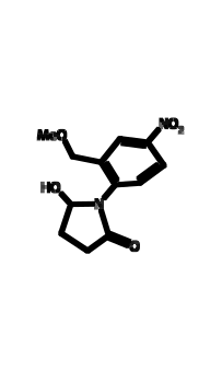 COCc1cc([N+](=O)[O-])ccc1N1C(=O)CCC1O